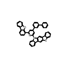 c1ccc(-c2cccc(-c3cc(-c4cccc5c4oc4ccccc45)nc(-n4c5ccccc5c5cc6sc7ccccc7c6cc54)c3)c2)cc1